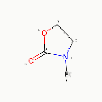 CCN1CCOC1=O